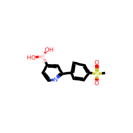 CS(=O)(=O)c1ccc(-c2cc(B(O)O)ccn2)cc1